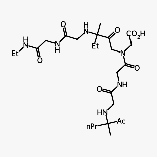 CCCC(C)(NCC(=O)NCC(=O)N(CC(=O)O)CC(=O)C(C)(CC)NCC(=O)NCC(=O)NCC)C(C)=O